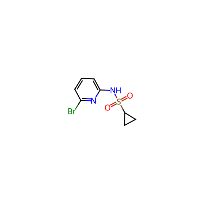 O=S(=O)(Nc1cccc(Br)n1)C1CC1